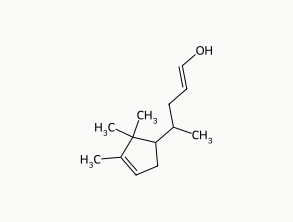 CC1=CCC(C(C)CC=CO)C1(C)C